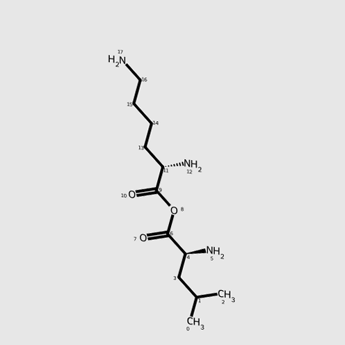 CC(C)C[C@H](N)C(=O)OC(=O)[C@@H](N)CCCCN